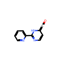 O=C=C1C=CN=C(c2ccccn2)N1